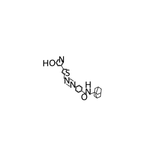 O=C(NCC12CC3CC(CC(C3)C1)C2)c1ccc(N2CCN(Cc3cc(-c4cncc(O)c4)cs3)CC2)cc1